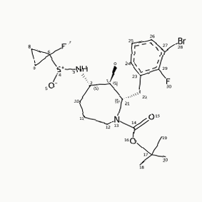 C[C@@H]1[C@@H](N[S+]([O-])C2(F)CC2)CCCN(C(=O)OC(C)(C)C)[C@H]1Cc1cccc(Br)c1F